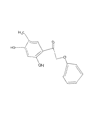 Cc1cc(C(=O)COc2ccccc2)c(O)cc1O